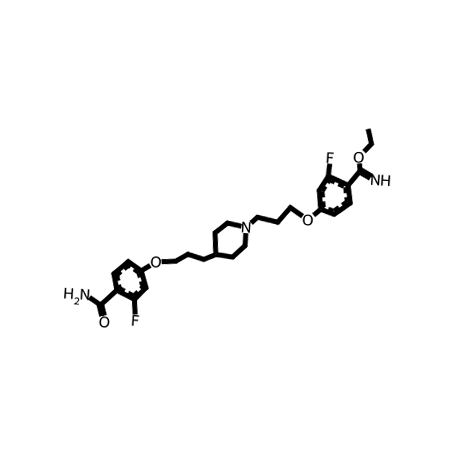 CCOC(=N)c1ccc(OCCCN2CCC(CCCOc3ccc(C(N)=O)c(F)c3)CC2)cc1F